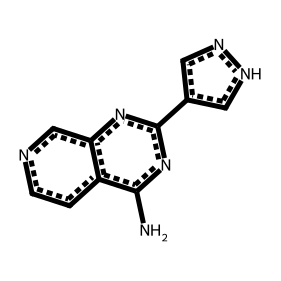 Nc1nc(-c2cn[nH]c2)nc2cnccc12